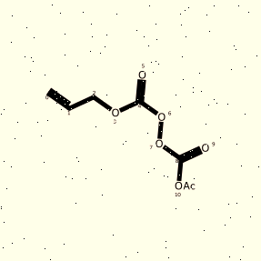 C=CCOC(=O)OOC(=O)OC(C)=O